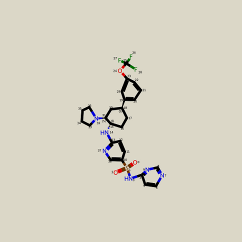 O=S(=O)(Nc1ccncn1)c1ccc(N[C@H]2CC[C@H](c3cccc(OC(F)(F)F)c3)C[C@@H]2N2CCCC2)nc1